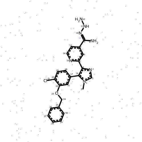 Cn1cnc(-c2cc(/C(N)=N/NN)ccn2)c1-c1ccc(Cl)c(OCc2ccccc2)c1